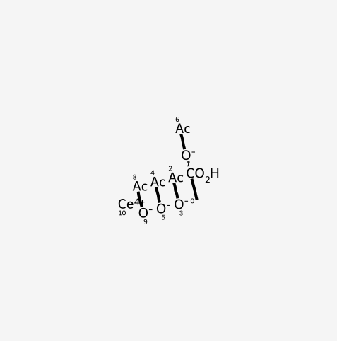 CC(=O)O.CC(=O)[O-].CC(=O)[O-].CC(=O)[O-].CC(=O)[O-].[Ce+4]